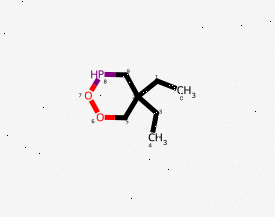 CCC1(CC)COOPC1